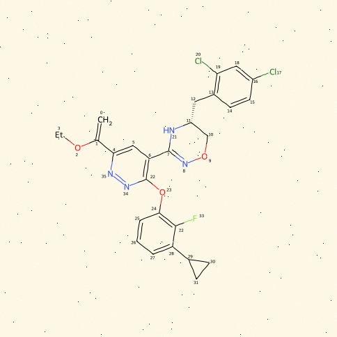 C=C(OCC)c1cc(C2=NOC[C@@H](Cc3ccc(Cl)cc3Cl)N2)c(Oc2cccc(C3CC3)c2F)nn1